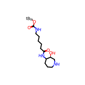 CC(C)(C)OC(=O)NCCCCCC(=O)NC1CCCNC[C@@H]1O